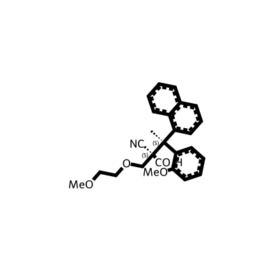 COCCOC[C@](C#N)(C(=O)O)[C@](C)(c1ccccc1OC)c1cccc2ccccc12